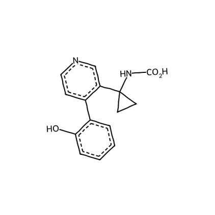 O=C(O)NC1(c2cnccc2-c2ccccc2O)CC1